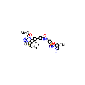 COC(=O)C[C@@H]1N=C(c2ccc(-c3ccc(C(=O)NCc4ccc(S(=O)(=O)Nc5ccc(C#N)c6cc[nH]c56)cc4)cc3)cc2)c2c(sc(C)c2C)-n2c(C)nnc21